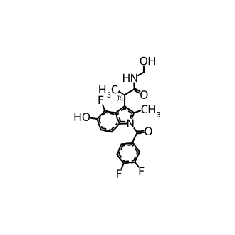 Cc1c([C@@H](C)C(=O)NCO)c2c(F)c(O)ccc2n1C(=O)c1ccc(F)c(F)c1